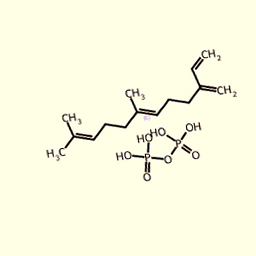 C=CC(=C)CC/C=C(\C)CCC=C(C)C.O=P(O)(O)OP(=O)(O)O